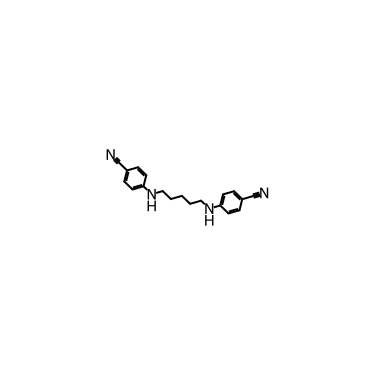 N#Cc1ccc(NCCCCCNc2ccc(C#N)cc2)cc1